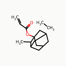 C=CC(=O)OC12CC3CC(CC(C3)C1C)C2.CC